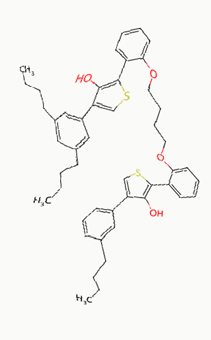 CCCCc1cccc(-c2csc(-c3ccccc3OCCCCOc3ccccc3-c3scc(-c4cc(CCCC)cc(CCCC)c4)c3O)c2O)c1